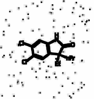 CCC[C@]1(CC)C(=O)Nc2cc(Cl)c(Cl)cc21